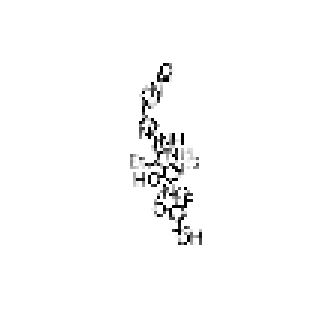 CC/C=C(\c1cc(-c2ccc(CN3CCN(C4COC4)CC3)cn2)[nH]c1N)c1cc(F)cc(N2CCOc3cc(C(C)(C)O)cc(F)c3C2=O)c1O